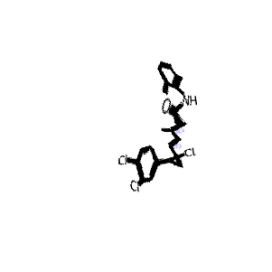 CC(/C=C/C1(Cl)CC1c1ccc(Cl)c(Cl)c1)=C\C(=O)Nc1ccccc1C